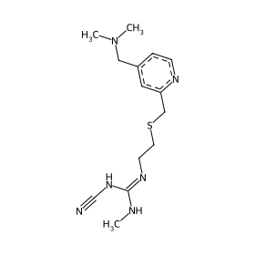 CN/C(=N/CCSCc1cc(CN(C)C)ccn1)NC#N